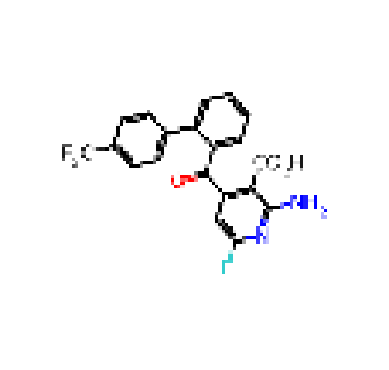 Nc1nc(F)cc(C(=O)c2ccccc2-c2ccc(C(F)(F)F)cc2)c1C(=O)O